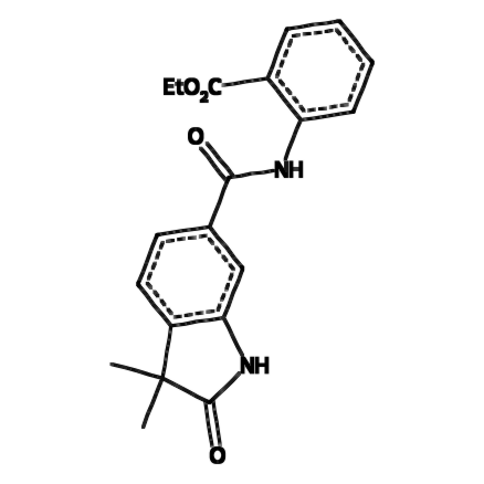 CCOC(=O)c1ccccc1NC(=O)c1ccc2c(c1)NC(=O)C2(C)C